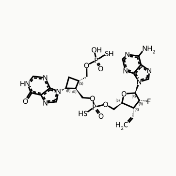 C=C[C@H]1[C@@H](F)[C@H](n2cnc3c(N)ncnc32)O[C@@H]1COP(=O)(S)OC[C@@H]1[C@@H](COP(=O)(O)S)C[C@H]1n1cnc2c(=O)[nH]cnc21